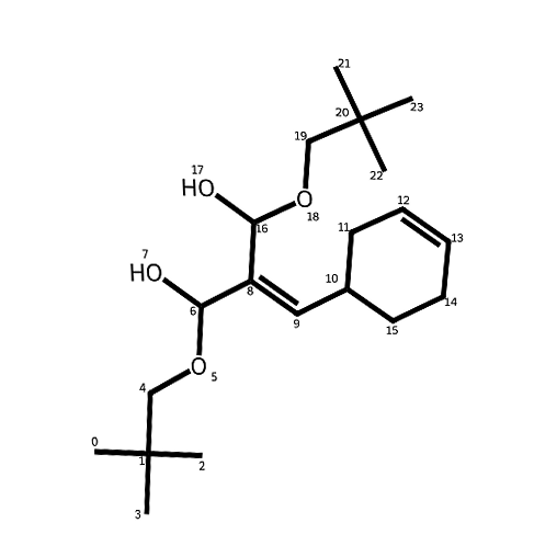 CC(C)(C)COC(O)C(=CC1CC=CCC1)C(O)OCC(C)(C)C